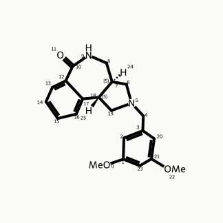 COc1cc(CN2C[C@@H]3CNC(=O)c4ccccc4[C@H]3C2)cc(OC)c1